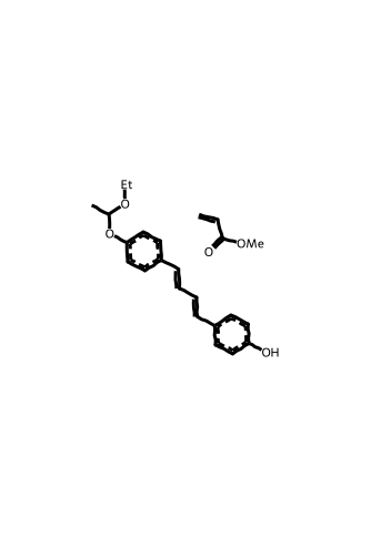 C=CC(=O)OC.CCOC(C)Oc1ccc(C=CC=Cc2ccc(O)cc2)cc1